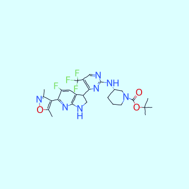 Cc1noc(C)c1-c1nc2c(cc1F)C(c1nc(N[C@H]3CCCN(C(=O)OC(C)(C)C)C3)ncc1C(F)(F)F)CN2